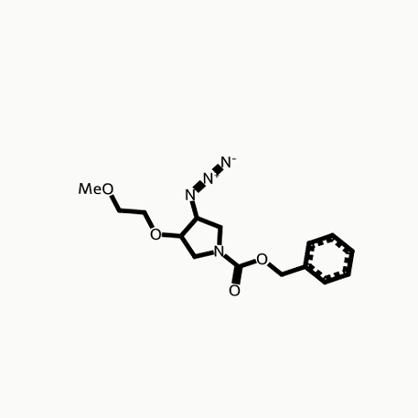 COCCOC1CN(C(=O)OCc2ccccc2)CC1N=[N+]=[N-]